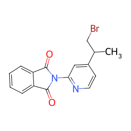 CC(CBr)c1ccnc(N2C(=O)c3ccccc3C2=O)c1